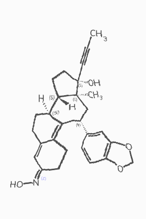 CC#C[C@]1(O)CC[C@H]2[C@@H]3CCC4=C/C(=N\O)CCC4=C3[C@@H](c3ccc4c(c3)OCO4)C[C@@]21C